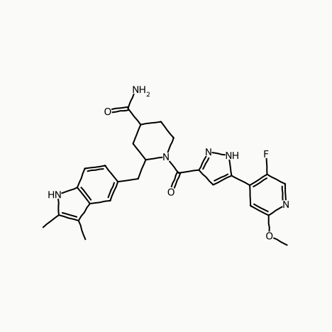 COc1cc(-c2cc(C(=O)N3CCC(C(N)=O)CC3Cc3ccc4[nH]c(C)c(C)c4c3)n[nH]2)c(F)cn1